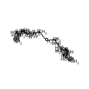 CC(C)(CCCCCCc1ccc(CCCCC(C)(C)C(=O)CCNC(=O)CCNC(=O)C(O)C(C)(C)COP(=O)(O)OP(=O)(O)OCC2OC(n3cnc4c(N)ncnc43)C(O)C2OP(=O)(O)O)cc1)C(=O)CCNC(=O)CCNC(=O)C(O)C(C)(C)COP(=O)(O)OP(=O)(O)OCC1OC(n2cnc3c(N)ncnc32)C(O)C1OP(=O)(O)O